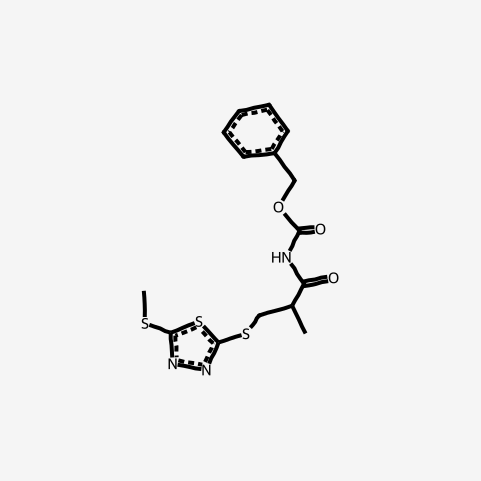 CSc1nnc(SCC(C)C(=O)NC(=O)OCc2ccccc2)s1